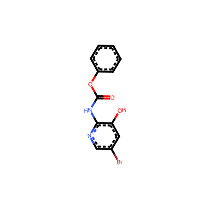 O=C(Nc1ncc(Br)cc1O)Oc1ccccc1